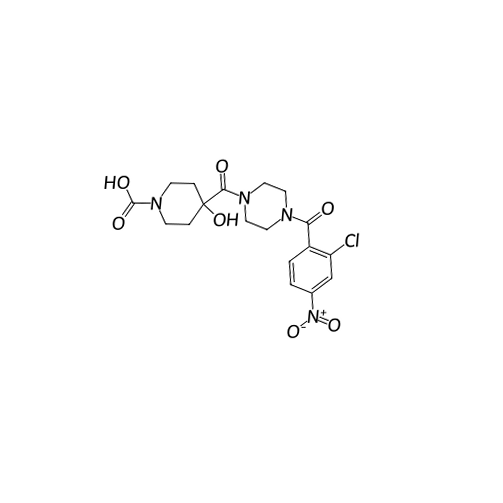 O=C(O)N1CCC(O)(C(=O)N2CCN(C(=O)c3ccc([N+](=O)[O-])cc3Cl)CC2)CC1